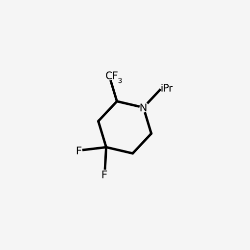 CC(C)N1CCC(F)(F)CC1C(F)(F)F